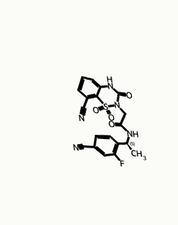 C[C@H](NC(=O)CN1C(=O)Nc2cccc(C#N)c2S1(=O)=O)c1ccc(C#N)cc1F